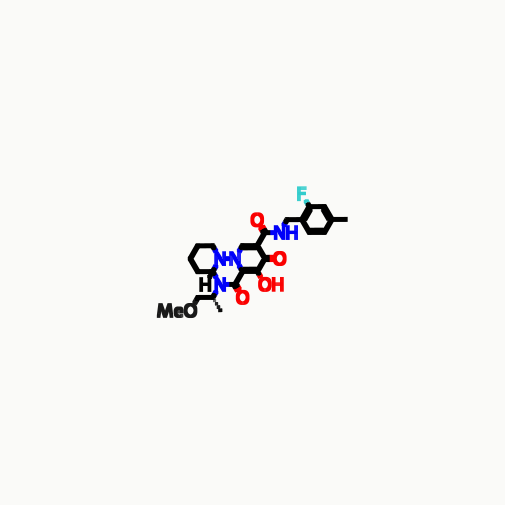 COC[C@@H](C)N1C(=O)c2c(O)c(=O)c(C(=O)NCc3ccc(C)cc3F)cn2N2CCCC[C@@H]12